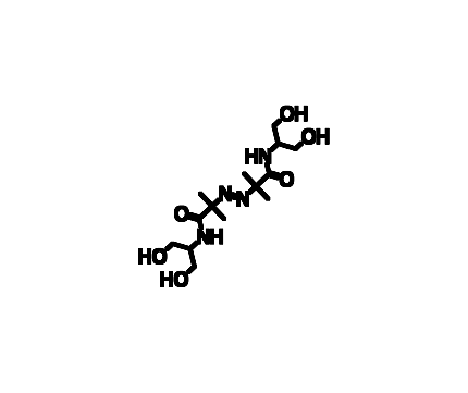 CC(C)(N=NC(C)(C)C(=O)NC(CO)CO)C(=O)NC(CO)CO